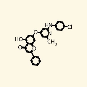 Cc1cc(Oc2cc(O)c3c(=O)cc(-c4ccccc4)oc3c2)cc(Nc2ccc(Cl)cc2)n1